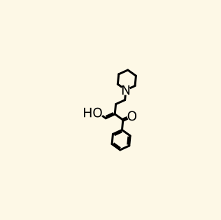 O=C(/C(=C/O)CCN1CCCCC1)c1ccccc1